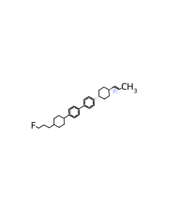 C/C=C/[C@H]1CC[C@H](c2ccc(-c3ccc(C4CCC(CCCF)CC4)cc3)cc2)CC1